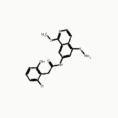 COc1nccc2c(SN)cc(NC(=O)Cc3c(O)cccc3Cl)cc12